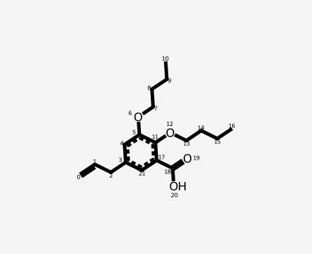 C=CCc1cc(OCCCC)c(OCCCC)c(C(=O)O)c1